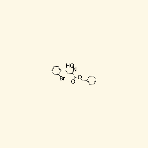 O=C(OCc1ccccc1)C(CCc1ccccc1Br)=NO